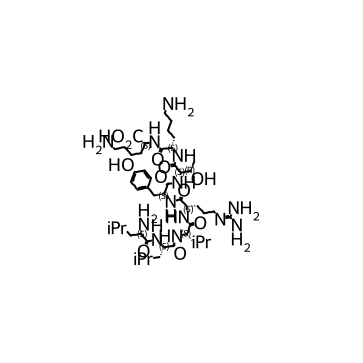 CC(C)C[C@H](NC(=O)[C@@H](N)CC(C)C)C(=O)N[C@H](C(=O)N[C@@H](CCCN=C(N)N)C(=O)N[C@@H](Cc1ccc(O)cc1)C(=O)N[C@H](C(=O)N[C@@H](CCCCN)C(=O)N[C@@H](CCCCN)C(=O)O)[C@@H](C)O)C(C)C